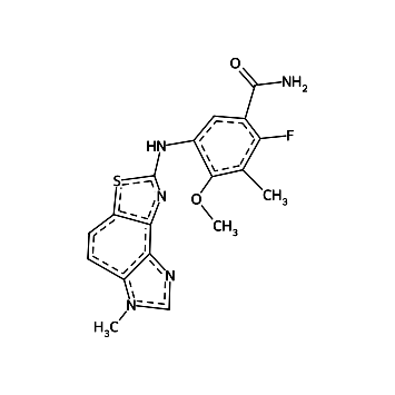 COc1c(Nc2nc3c(ccc4c3ncn4C)s2)cc(C(N)=O)c(F)c1C